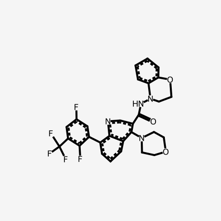 O=C(NN1CCOc2ccccc21)c1cnc2c(-c3cc(F)cc(C(F)(F)F)c3F)cccc2c1N1CCOCC1